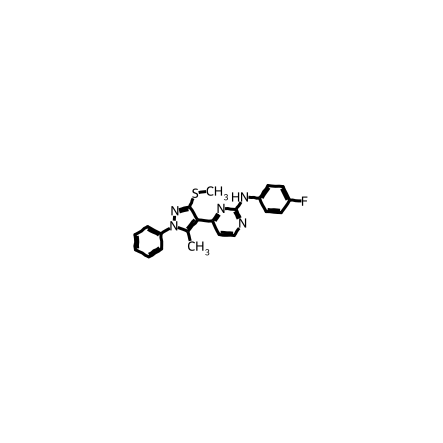 CSc1nn(-c2ccccc2)c(C)c1-c1ccnc(Nc2ccc(F)cc2)n1